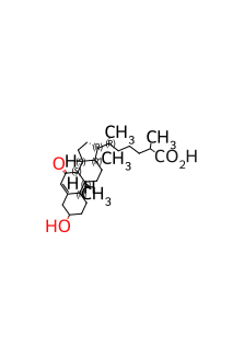 CC(CCC[C@@H](C)[C@H]1CC[C@H]2[C@@H]3C(=O)C=C4CC(O)CC[C@]4(C)[C@H]3CC[C@]12C)C(=O)O